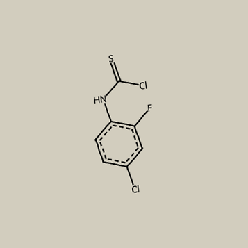 Fc1cc(Cl)ccc1NC(=S)Cl